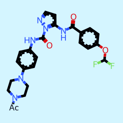 CC(=O)N1CCN(c2ccc(NC(=O)n3nccc3NC(=O)c3ccc(OC(F)F)cc3)cc2)CC1